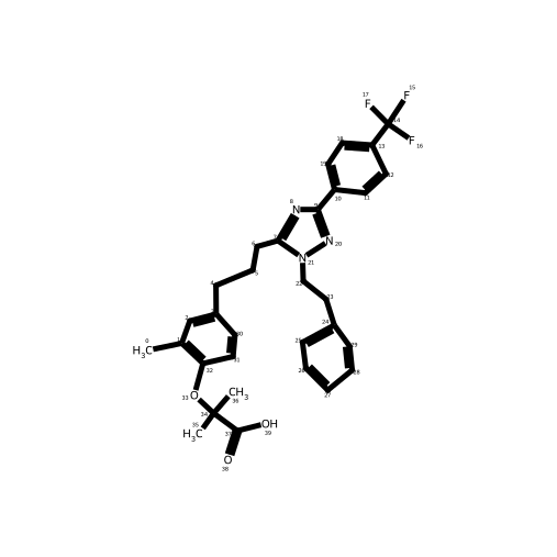 Cc1cc(CCCc2nc(-c3ccc(C(F)(F)F)cc3)nn2CCc2ccccc2)ccc1OC(C)(C)C(=O)O